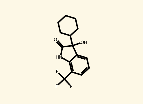 O=C1Nc2c(C(F)(F)F)cccc2C1(O)C1CCCCC1